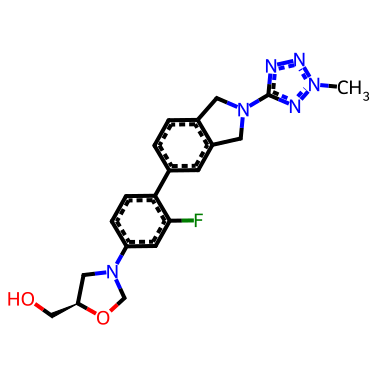 Cn1nnc(N2Cc3ccc(-c4ccc(N5CO[C@@H](CO)C5)cc4F)cc3C2)n1